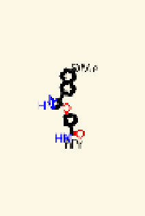 CCCNC(=O)c1ccc(Oc2c[nH]nc2-c2ccc3cc(OC)ccc3c2)cc1